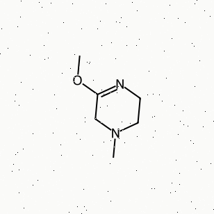 COC1=NCCN(C)C1